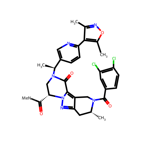 CNC(=O)[C@@H]1CN([C@@H](C)c2ccc(-c3c(C)noc3C)nc2)C(=O)c2c3c(nn21)C[C@@H](C)N(C(=O)c1ccc(Cl)c(Cl)c1)C3